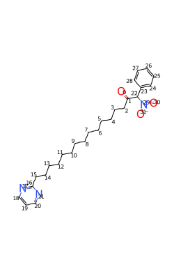 O=C(CCCCCCCCCCCCCCc1ncccn1)C(c1ccccc1)[N+](=O)[O-]